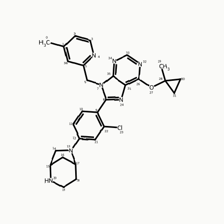 Cc1ccnc(Cn2c(-c3ccc(N4CC5CC4CCN5)cc3Cl)nc3c(OC4(C)CC4)ncnc32)c1